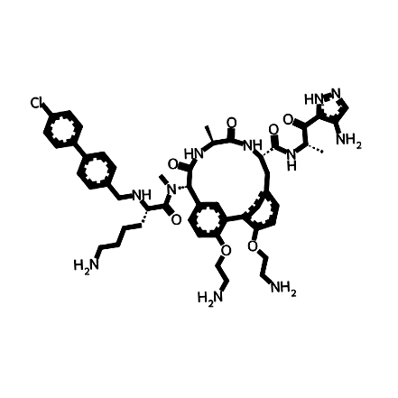 C[C@@H]1NC(=O)[C@@H](N(C)C(=O)[C@H](CCCCN)NCc2ccc(-c3ccc(Cl)cc3)cc2)c2ccc(OCCN)c(c2)-c2cc(ccc2OCCN)C[C@@H](C(=O)N[C@@H](C)C(=O)c2[nH]ncc2N)NC1=O